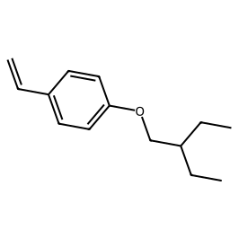 C=Cc1ccc(OCC(CC)CC)cc1